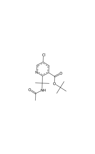 CC(=O)NC(C)(C)c1ncc(Cl)cc1C(=O)OC(C)(C)C